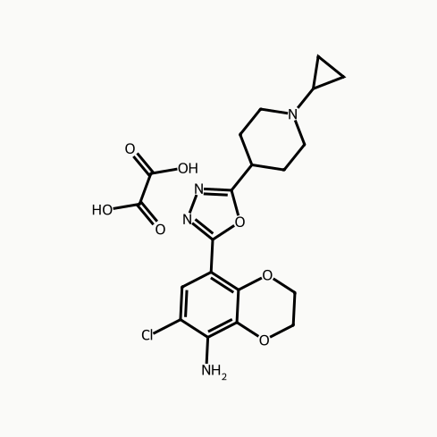 Nc1c(Cl)cc(-c2nnc(C3CCN(C4CC4)CC3)o2)c2c1OCCO2.O=C(O)C(=O)O